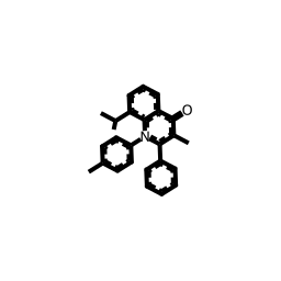 Cc1ccc(-n2c(-c3ccccc3)c(C)c(=O)c3cccc(C(C)C)c32)cc1